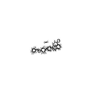 C=C.O=C1CCn2c(N3CCN(c4ccc(OCc5ccccc5)cc4)CC3)nc3cccc1c32